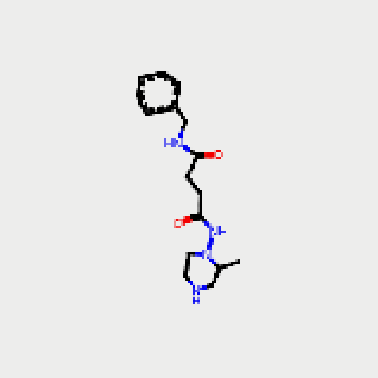 CC1CNCCN1NC(=O)CCC(=O)NCc1ccccc1